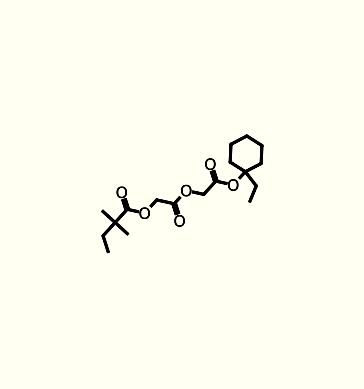 CCC1(OC(=O)COC(=O)COC(=O)C(C)(C)CC)CCCCC1